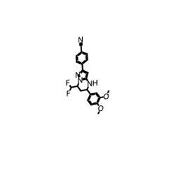 COc1ccc(C2CC(C(F)F)n3nc(-c4ccc(C#N)cc4)cc3N2)cc1OC